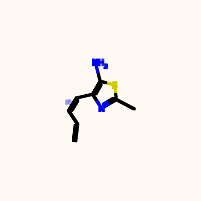 C=C/C=C\c1nc(C)sc1N